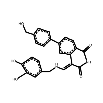 O=C1NC(=O)c2ccc(-c3ccc(CO)cc3)cc2/C1=C\NCc1ccc(O)c(O)c1